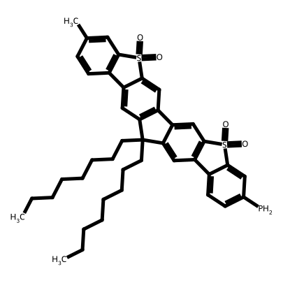 CCCCCCCCC1(CCCCCCCC)c2cc3c(cc2-c2cc4c(cc21)-c1ccc(P)cc1S4(=O)=O)S(=O)(=O)c1cc(C)ccc1-3